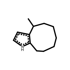 CC1CCCCCCc2[nH]ccc21